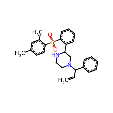 C=CC(c1ccccc1)N1CCNC(c2ccccc2S(=O)(=O)c2ccc(C)cc2C)C1